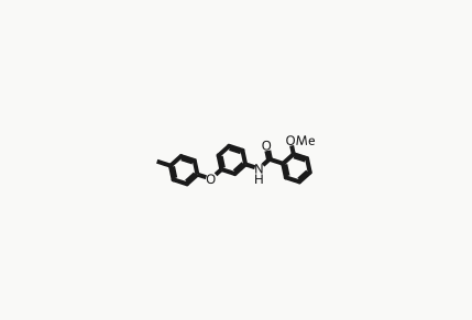 COc1ccccc1C(=O)Nc1cccc(Oc2ccc(C)cc2)c1